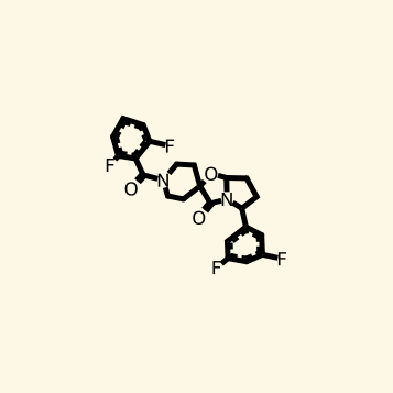 O=C(c1c(F)cccc1F)N1CCC2(CC1)OC1CCC(c3cc(F)cc(F)c3)N1C2=O